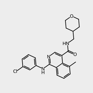 Cc1cccc2c(Nc3cccc(Cl)c3)ncc(C(=O)NCC3CCOCC3)c12